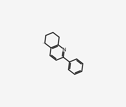 [CH]1CCCc2nc(-c3ccccc3)ccc21